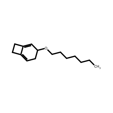 CCCCCCCOC1C=C2CCC2=CC1